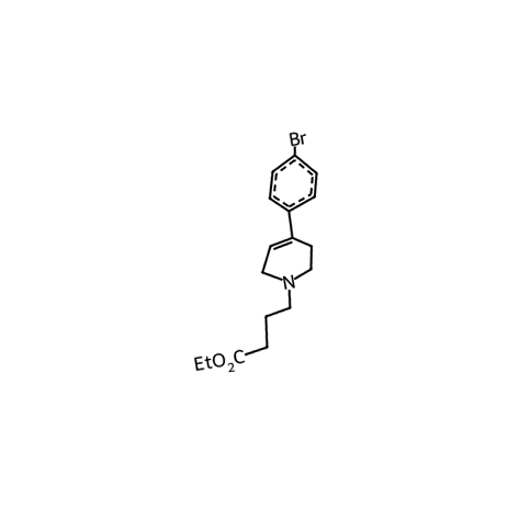 CCOC(=O)CCCN1CC=C(c2ccc(Br)cc2)CC1